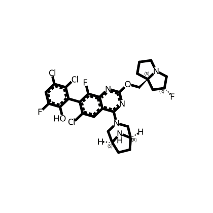 Oc1c(F)cc(Cl)c(Cl)c1-c1c(Cl)cc2c(N3C[C@H]4CC[C@@H](C3)N4)nc(OC[C@@]34CCCN3C[C@H](F)C4)nc2c1F